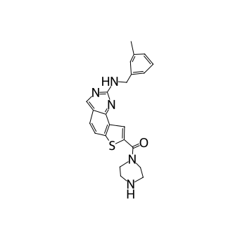 Cc1cccc(CNc2ncc3ccc4sc(C(=O)N5CCNCC5)cc4c3n2)c1